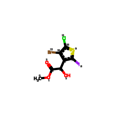 COC(=O)C(O)c1c(I)sc(Cl)c1Br